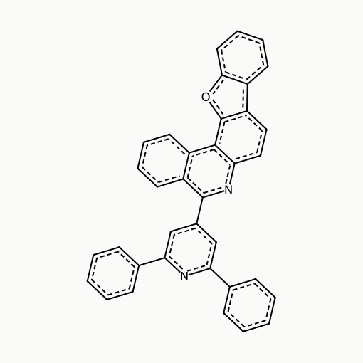 c1ccc(-c2cc(-c3nc4ccc5c6ccccc6oc5c4c4ccccc34)cc(-c3ccccc3)n2)cc1